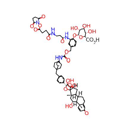 C[C@]12C=CC(=O)C=C1CC[C@@H]1[C@@H]2[C@@H](O)C[C@@]2(C)[C@H]1C[C@H]1O[C@@H](c3ccc(CC45CCC(NC(=O)OCc6ccc(O[C@@H]7O[C@H](C(=O)O)[C@@H](O)[C@H](O)[C@H]7O)c(NC(=O)CCNC(=O)CCC(=O)ON7C(=O)CCC7=O)c6)(CC4)CC5)cc3)O[C@]12C(=O)CO